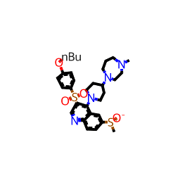 CCCCOc1ccc(S(=O)(=O)c2cnc3ccc([S+](C)[O-])cc3c2N2CCC(N3CCCN(C)CC3)CC2)cc1